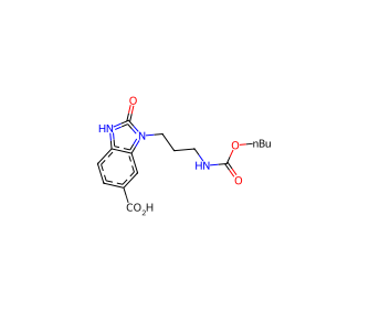 CCCCOC(=O)NCCCn1c(=O)[nH]c2ccc(C(=O)O)cc21